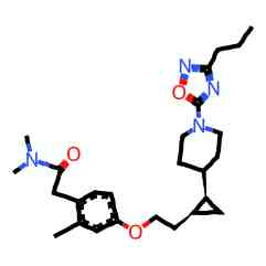 CCCc1noc(N2CCC([C@H]3C[C@H]3CCOc3ccc(CC(=O)N(C)C)c(C)c3)CC2)n1